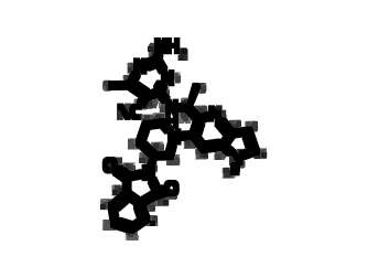 Cc1nc(N)nc(N[C@@H](C)c2nc3ccn(C)c3cc2N2CCC[C@H](N3C(=O)c4ccccc4C3=O)C2)c1C#N